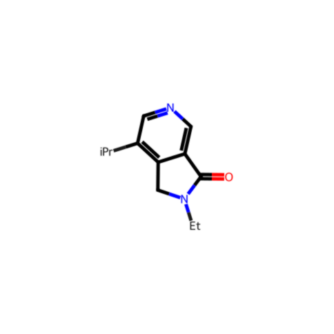 CCN1Cc2c(cncc2C(C)C)C1=O